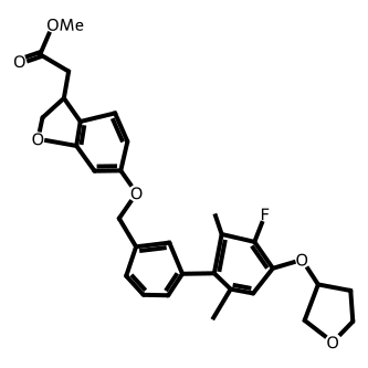 COC(=O)CC1COc2cc(OCc3cccc(-c4c(C)cc(OC5CCOC5)c(F)c4C)c3)ccc21